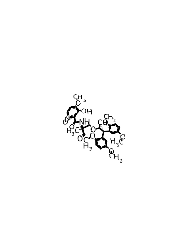 COc1ccc(OC)c(C(c2cc(OC)ccc2OC)[C@H](C)OC[C@@](C)(C=O)NC(=O)c2c(O)c(OC)cc[n+]2[O-])c1